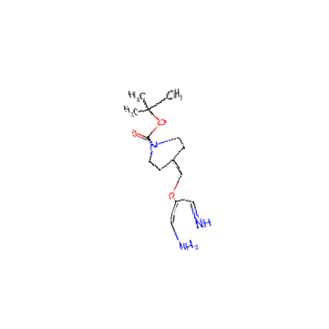 CC(C)(C)OC(=O)N1CCC(CO/C(C=N)=C/N)CC1